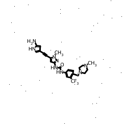 CN1CCN(Cc2ccc(NC(=O)Nc3cc(C#Cc4c[nH]c(N)c4)n(C)n3)cc2C(F)(F)F)CC1